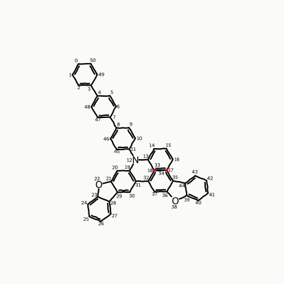 c1ccc(-c2ccc(-c3ccc(N(c4ccccc4)c4cc5oc6ccccc6c5cc4-c4ccc5c(c4)oc4ccccc45)cc3)cc2)cc1